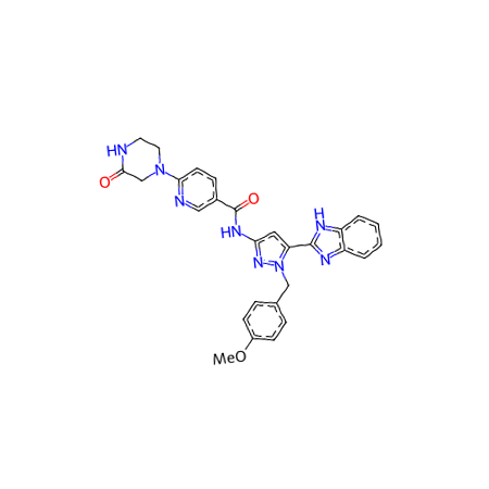 COc1ccc(Cn2nc(NC(=O)c3ccc(N4CCNC(=O)C4)nc3)cc2-c2nc3ccccc3[nH]2)cc1